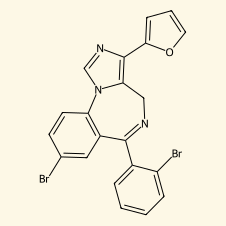 Brc1ccc2c(c1)C(c1ccccc1Br)=NCc1c(-c3ccco3)ncn1-2